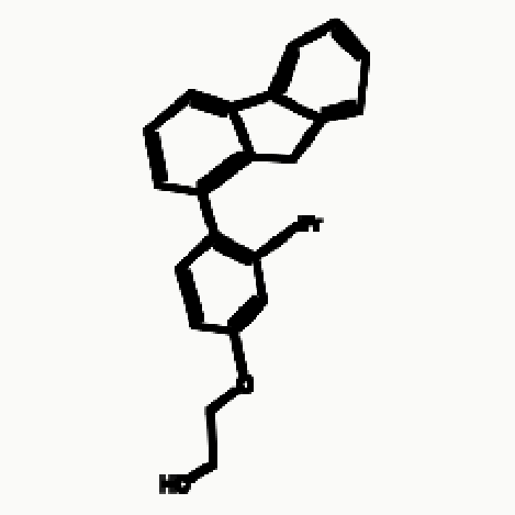 CC(C)c1cc(OCCO)ccc1-c1cccc2c1Cc1ccccc1-2